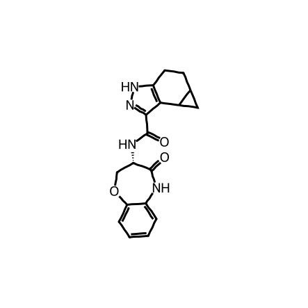 O=C(N[C@H]1COc2ccccc2NC1=O)c1n[nH]c2c1C1CC1CC2